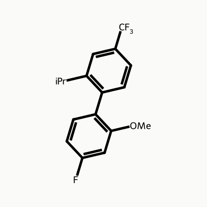 COc1cc(F)ccc1-c1ccc(C(F)(F)F)cc1C(C)C